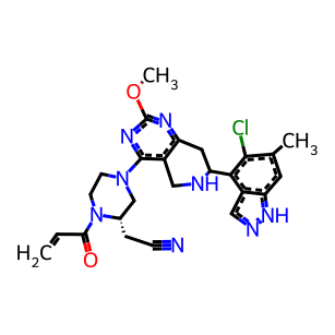 C=CC(=O)N1CCN(c2nc(OC)nc3c2CNC(c2c(Cl)c(C)cc4[nH]ncc24)C3)C[C@@H]1CC#N